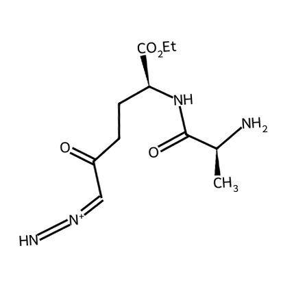 CCOC(=O)[C@H](CCC(=O)C=[N+]=N)NC(=O)[C@H](C)N